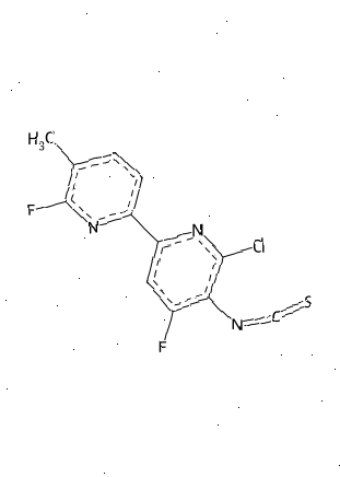 Cc1ccc(-c2cc(F)c(N=C=S)c(Cl)n2)nc1F